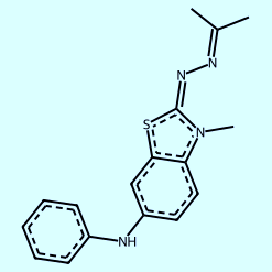 CC(C)=NN=c1sc2cc(Nc3ccccc3)ccc2n1C